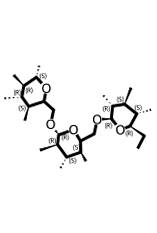 CC[C@H]1O[C@@H](OCC2O[C@@H](OCC3O[C@@H](C)[C@H](C)[C@@H](C)[C@@H]3C)[C@H](C)[C@@H](C)[C@@H]2C)[C@H](C)[C@@H](C)[C@@H]1C